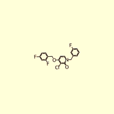 O=c1c(Cl)c(OCc2ccc(F)cc2F)ccn1Cc1cccc(F)c1